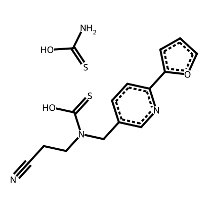 N#CCCN(Cc1ccc(-c2ccco2)nc1)C(O)=S.NC(O)=S